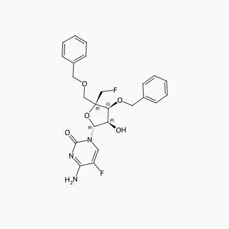 Nc1nc(=O)n([C@@H]2O[C@](CF)(COCc3ccccc3)[C@@H](OCc3ccccc3)[C@H]2O)cc1F